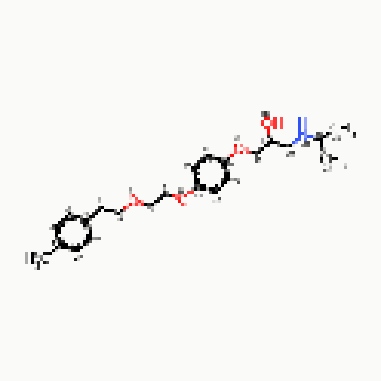 Cc1ccc(CCOCCOc2ccc(OCC(O)CNC(C)C)cc2)cc1